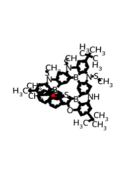 CSN1c2cc3c(cc2B2c4sc5ccccc5c4Oc4cc(C(C)(C)C)cc1c42)B1c2cc4c(cc2N(SC)c2cc(C(C)(C)C)cc(c21)N3SC)Nc1cc(C(C)(C)C)cc2c1B4c1sc3ccccc3c1O2